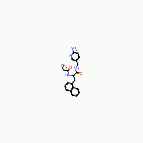 CCC(=O)NC(Cc1cccc2ccccc12)C(=O)NCc1ccc(N)nc1